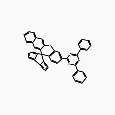 c1ccc(-c2nc(-c3ccccc3)nc(-c3ccc4c(c3)Sc3cc5ccccc5cc3C43c4ccccc4-c4ccccc43)n2)cc1